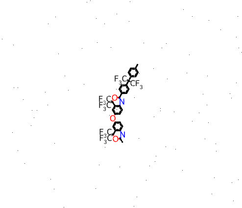 CC1=Nc2ccc(Oc3ccc4c(c3)C(C(F)(F)F)(C(F)(F)F)OC(c3ccc(C(c5ccc(C)cc5)(C(F)(F)F)C(F)(F)F)cc3)=N4)cc2C(C(F)(F)F)(C(F)(F)F)O1